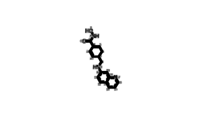 O=C(NO)C1=CCC(CNc2ccc3cccnc3c2)C=C1